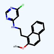 CCCOc1ccc2ccccc2c1CCNc1cc(Cl)ncn1